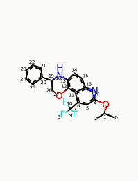 CC(C)Oc1cc(C(F)(F)F)c2c3c(ccc2n1)NC(c1ccccc1)CO3